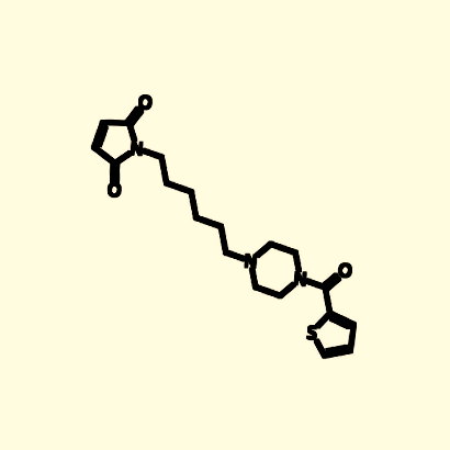 O=C(c1cccs1)N1CCN(CCCCCCN2C(=O)C=CC2=O)CC1